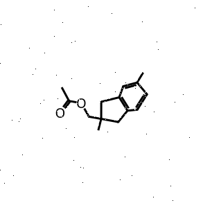 CC(=O)OCC1(C)Cc2ccc(C)cc2C1